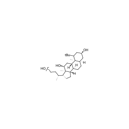 C[C@H](CCC(=O)O)[C@H]1CC[C@H]2[C@@H]3CC[C@@H]4C[C@H](O)CC(C(C)(C)C)[C@]4(C)[C@H]3C[C@H](O)[C@]12C